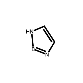 b1n[c]c[nH]1